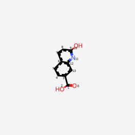 O=C(O)c1ccc2ccc(O)nc2c1